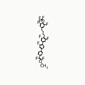 CCO/C(F)=C(\F)c1ccc(-c2ccc(-c3cc(F)c(CCCCc4cc(F)c(OC(F)(F)F)c(F)c4)c(F)c3)c(F)c2)cc1